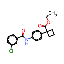 CCOC(=O)C1(c2ccc(NC(=O)c3cccc(Cl)c3)cc2)CCC1